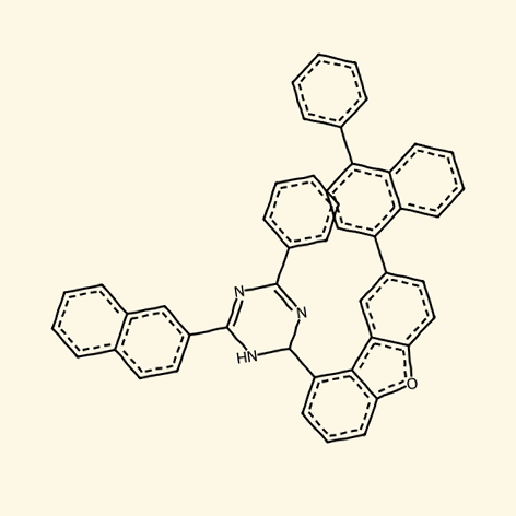 c1ccc(C2=NC(c3cccc4oc5ccc(-c6ccc(-c7ccccc7)c7ccccc67)cc5c34)NC(c3ccc4ccccc4c3)=N2)cc1